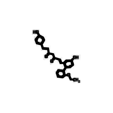 CCOc1ccccc1-c1ccc(O)cc1C=CC(=O)CC(=O)C=Cc1ccc(O)cc1